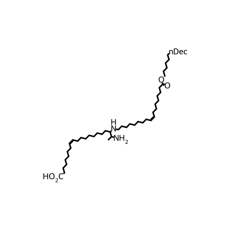 CCCCCCCCCCCCCCCCOC(=O)CCCCCCC/C=C\CCCCCCCCNC(CCCCCCCC/C=C\CCCCCCCC(=O)O)C(C)N